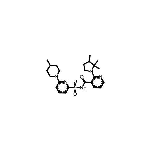 CC1CCN(c2cccc(S(=O)(=O)NC(=O)c3cccnc3N3CCC(C)C3(C)C)n2)CC1